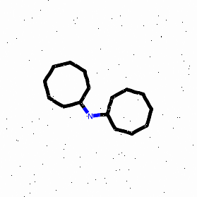 C1CCCC([N]C2CCCCCCC2)CCC1